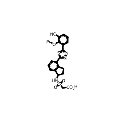 CC(C)Oc1c(C#N)cccc1-c1nnc(-c2cccc3c2CCC3NS(=O)(=O)CC(=O)O)s1